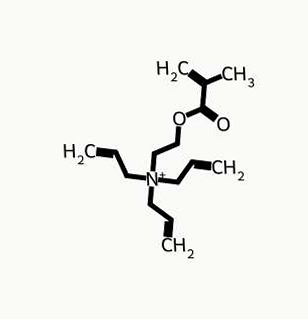 C=CC[N+](CC=C)(CC=C)CCOC(=O)C(=C)C